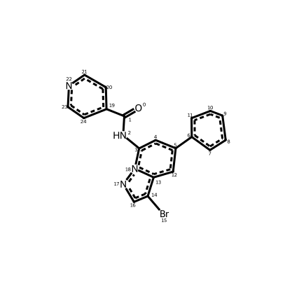 O=C(Nc1cc(-c2ccccc2)cc2c(Br)cnn12)c1ccncc1